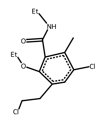 CCNC(=O)c1c(C)c(Cl)cc(CCCl)c1OCC